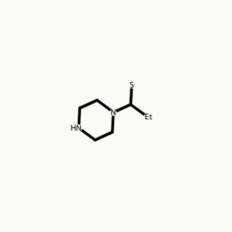 CCC([S])N1CCNCC1